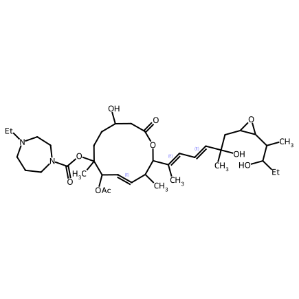 CCC(O)C(C)C1OC1CC(C)(O)/C=C/C=C(\C)C1OC(=O)CC(O)CCC(C)(OC(=O)N2CCCN(CC)CC2)C(OC(C)=O)/C=C/C1C